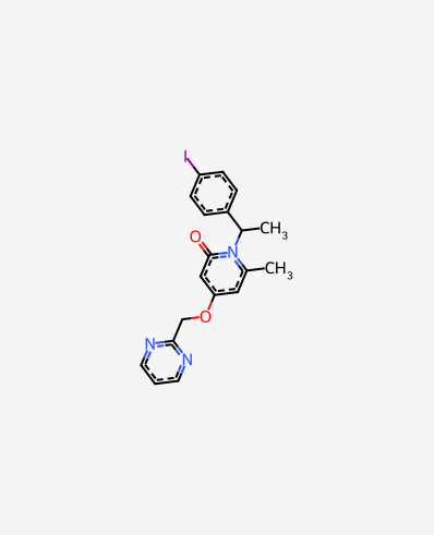 Cc1cc(OCc2ncccn2)cc(=O)n1C(C)c1ccc(I)cc1